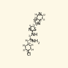 N[C@H](CNc1ncc(-c2nc3ccncc3s2)s1)Cc1ccc(Cl)cc1